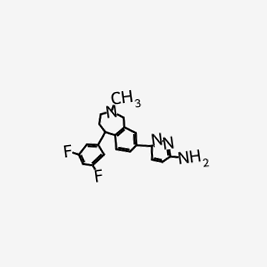 CN1CCC(c2cc(F)cc(F)c2)c2ccc(-c3ccc(N)nn3)cc2C1